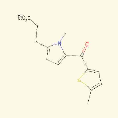 CCOC(=O)CCc1ccc(C(=O)c2ccc(C)s2)n1C